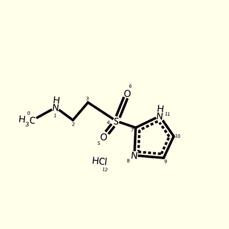 CNCCS(=O)(=O)c1ncc[nH]1.Cl